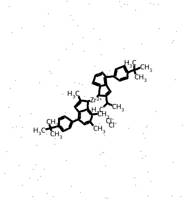 CC1=Cc2c(-c3ccc(C(C)(C)C)cc3)cc(C)c(C)c2[CH]1[Zr+2][CH]1C(C(C)C)=Cc2c(-c3ccc(C(C)(C)C)cc3)cccc21.[Cl-].[Cl-]